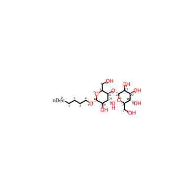 CCCCCCCCCCCCCCO[C@@H]1OC(CO)[C@@H](O[C@H]2OC(CO)[C@@H](O)[C@H](O)C2O)[C@H](O)C1O